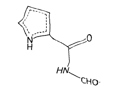 O=[C]NC(=O)c1ccc[nH]1